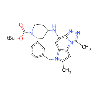 Cc1cc2c(cc(NC3CCN(C(=O)OC(C)(C)C)CC3)c3nnc(C)n32)n1Cc1ccccc1